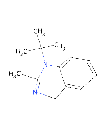 CC1=NCc2ccccc2N1C(C)(C)C